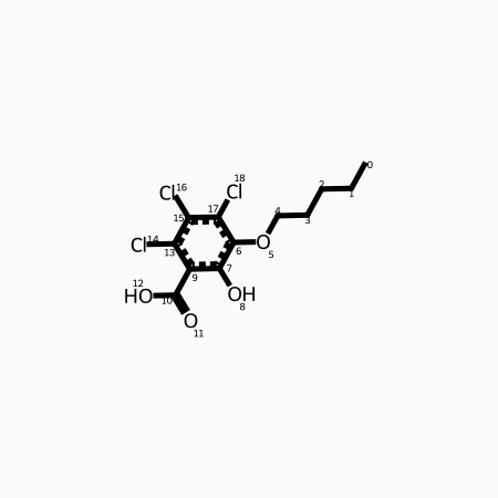 CCCCCOc1c(O)c(C(=O)O)c(Cl)c(Cl)c1Cl